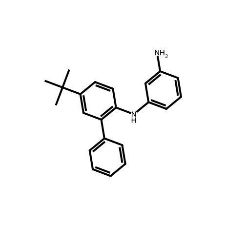 CC(C)(C)c1ccc(Nc2cccc(N)c2)c(-c2ccccc2)c1